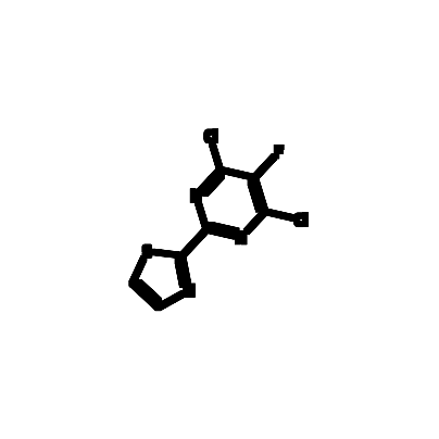 Fc1c(Cl)nc(-c2nccs2)nc1Cl